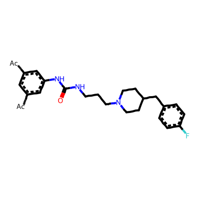 CC(=O)c1cc(NC(=O)NCCCN2CCC(Cc3ccc(F)cc3)CC2)cc(C(C)=O)c1